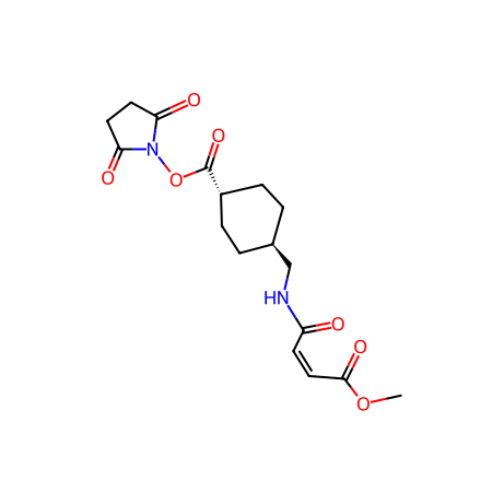 COC(=O)/C=C\C(=O)NC[C@H]1CC[C@H](C(=O)ON2C(=O)CCC2=O)CC1